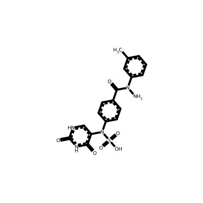 Cc1cccc(N(N)C(=O)c2ccc(N(c3c[nH]c(=O)[nH]c3=O)S(=O)(=O)O)cc2)c1